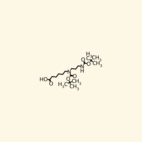 CC(C)(C)OC(=O)NCCCN(CCCCCC(=O)O)C(=O)OC(C)(C)C